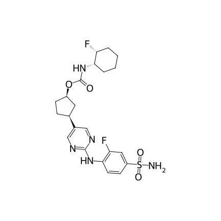 NS(=O)(=O)c1ccc(Nc2ncc([C@H]3CC[C@@H](OC(=O)N[C@H]4CCCC[C@H]4F)C3)cn2)c(F)c1